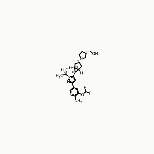 CC(C)n1nc(-c2cnc(N)c(OC(F)F)c2)cc1[C@H]1[C@@H]2C[C@H](N3CC[C@H](CO)C3)C[C@@H]21